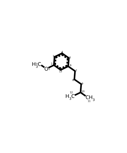 COc1cccc(CCCC(C)C)c1